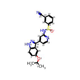 CC(C)Oc1ccc2[nH]nc(-c3ccnc(N[S+]([O-])c4cccc(C#N)c4)c3)c2c1